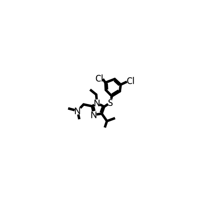 CCn1c(CN(C)C)nc(C(C)C)c1Sc1cc(Cl)cc(Cl)c1